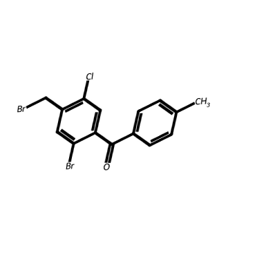 Cc1ccc(C(=O)c2cc(Cl)c(CBr)cc2Br)cc1